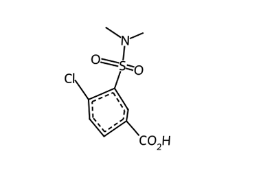 CN(C)S(=O)(=O)c1cc(C(=O)O)ccc1Cl